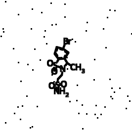 CC1c2cc(Br)ccc2S(=O)(=O)N1CCS(N)(=O)=O